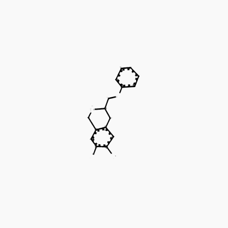 Oc1cc2c(cc1O)CC(COc1ccccc1)NC2